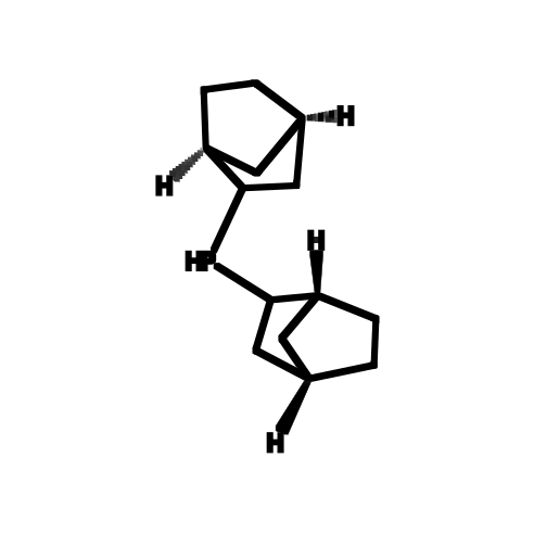 C1C[C@@H]2C[C@H]1CC2PC1C[C@@H]2CC[C@H]1C2